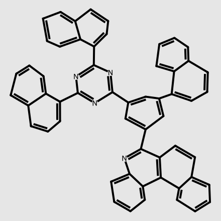 c1ccc2c(-c3cc(-c4nc(-c5cccc6ccccc56)nc(-c5cccc6ccccc56)n4)cc(-c4nc5ccccc5c5c4ccc4ccccc45)c3)cccc2c1